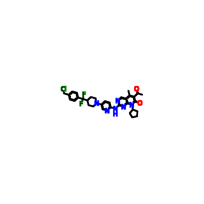 CC(=O)c1c(C)c2cnc(Nc3ccc(N4CCC(C(F)(F)c5ccc(CCl)cc5)CC4)cn3)nc2n(C2CCCC2)c1=O